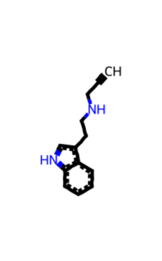 C#CCNCCc1c[nH]c2ccccc12